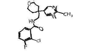 Cc1ncc(C2(CNC(=O)c3cccc(F)c3Cl)CCOCC2)cn1